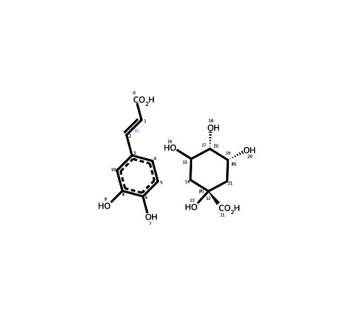 O=C(O)/C=C/c1ccc(O)c(O)c1.O=C(O)[C@@]1(O)CC(O)[C@H](O)[C@H](O)C1